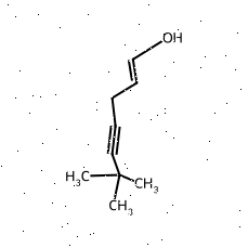 CC(C)(C)C#CCC=CO